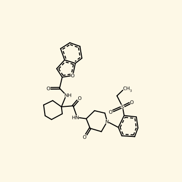 CCS(=O)(=O)c1ccccc1N1CCC(NC(=O)C2(NC(=O)c3cc4ccccc4o3)CCCCC2)C(=O)C1